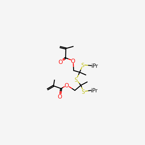 C=C(C)C(=O)OCC(C)(SC(C)C)SC(C)(COC(=O)C(=C)C)SC(C)C